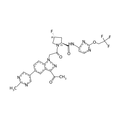 CC(=O)c1nn(CC(=O)N2C[C@H](F)C[C@H]2C(=O)Nc2ccnc(OCC(F)(F)F)n2)c2ccc(-c3cnc(C)nc3)cc12